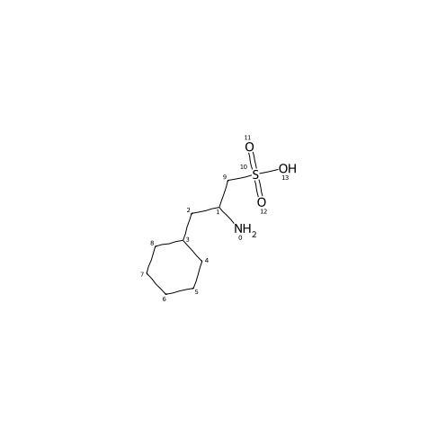 NC(CC1CCCCC1)CS(=O)(=O)O